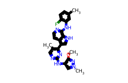 COc1nn(C)cc1Nc1ncc(C)c(-c2c[nH]c3c(Nc4cc(C)ccc4F)nccc23)n1